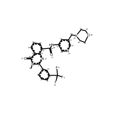 Cn1c(-c2cccc(C(F)(F)F)c2)nc2c(C(=O)Nc3cncc(CN4CCOCC4)c3)cccc2c1=O